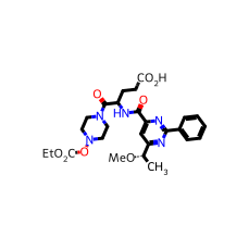 CCOC(=O)ON1CCN(C(=O)C(CCC(=O)O)NC(=O)c2cc([C@H](C)OC)nc(-c3ccccc3)n2)CC1